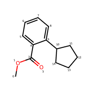 COC(=O)c1ccccc1C1CCCC1